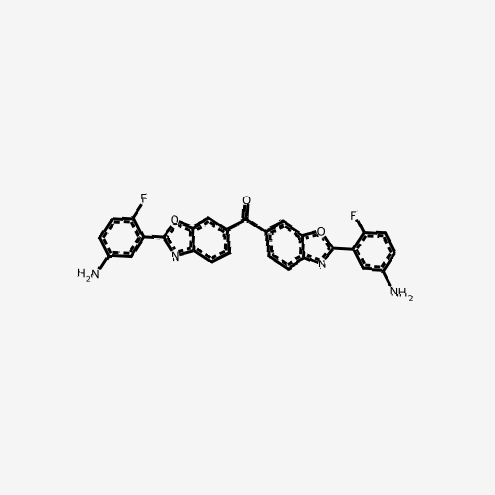 Nc1ccc(F)c(-c2nc3ccc(C(=O)c4ccc5nc(-c6cc(N)ccc6F)oc5c4)cc3o2)c1